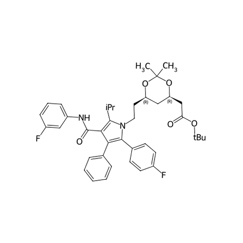 CC(C)c1c(C(=O)Nc2cccc(F)c2)c(-c2ccccc2)c(-c2ccc(F)cc2)n1CC[C@@H]1C[C@H](CC(=O)OC(C)(C)C)OC(C)(C)O1